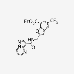 CCOC(=O)c1cc(C(F)(F)F)cc2cc(CNC(=O)c3cnn4cccnc34)oc12